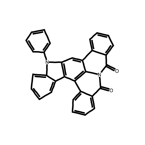 O=c1c2ccccc2c2cc3c(c4ccccc4n3-c3ccccc3)c3c4ccccc4c(=O)n1c23